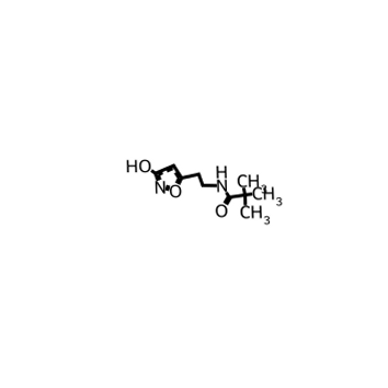 CC(C)(C)C(=O)NCCc1cc(O)no1